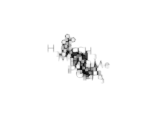 CC[C@H](C)[C@@H]([C@@H](CC(=O)N1CCC[C@H]1[C@H](OC)[C@@H](C)C(=O)N[C@@H](Cc1ccccc1)c1nc(C(=O)N(C)CCSC(c2ccccc2)(c2ccccc2)c2ccccc2)cs1)OC)N(C)C(=O)[C@@H](NC(=O)[C@H](C(C)C)N(C)C)C(C)C